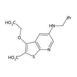 CC(C)CNc1cnc2sc(C(=O)O)c(OCC(=O)O)c2c1